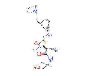 CCn1c(=C(C#N)C(=O)NC(C)(C)CO)sc(=CNc2cccc(CCN3CCCC3)c2)c1=O